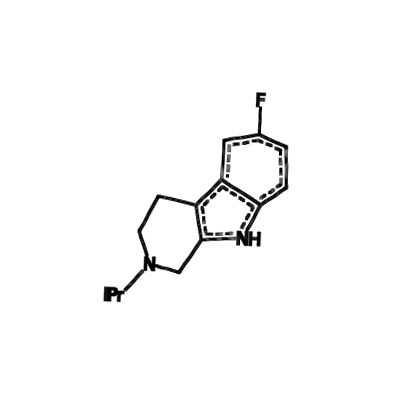 CC(C)N1CCc2c([nH]c3ccc(F)cc23)C1